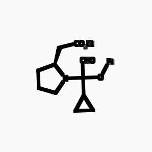 CCOC(=O)C[C@@H]1CCCN1C(C=O)(OCC)C1CC1